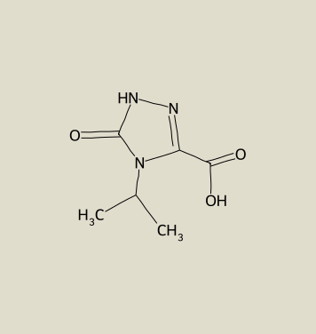 CC(C)n1c(C(=O)O)n[nH]c1=O